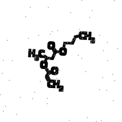 C=CC(=O)OC(C)CC(=O)OCCCC